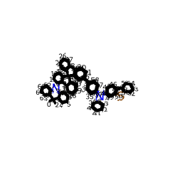 CC1(C)c2ccccc2N(c2cccc3c2-c2ccccc2C32c3ccccc3-c3ccc(-c4ccc(N(c5ccccc5)c5ccc6c(c5)sc5ccccc56)cc4)cc32)c2ccccc21